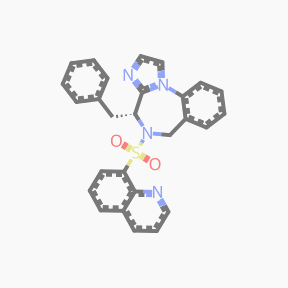 O=S(=O)(c1cccc2cccnc12)N1Cc2ccccc2-n2ccnc2[C@H]1Cc1ccccc1